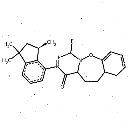 C[C@@H]1CC(C)(C)c2cccc(NC(=O)C3CCC4CC=CC=C4ON3C(F)F)c21